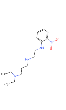 CCN(CC)CCCNCCNc1ccccc1[N+](=O)[O-]